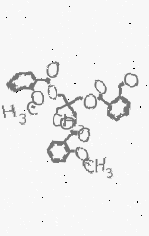 CCC(COC(=O)c1ccccc1C=O)(COC(=O)c1ccccc1OC)COC(=O)c1ccccc1OC